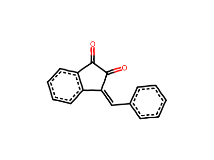 O=C1C(=O)c2ccccc2C1=Cc1ccccc1